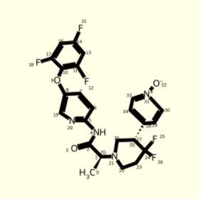 C[C@@H](C(=O)Nc1ccc(Oc2c(F)cc(F)cc2F)cn1)N1CCC(F)(F)[C@@H](c2cc[n+]([O-])cc2)C1